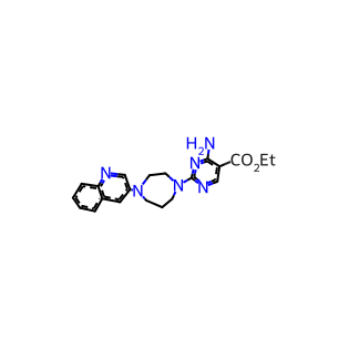 CCOC(=O)c1cnc(N2CCCN(c3cnc4ccccc4c3)CC2)nc1N